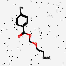 COCCOCOC(=O)c1ccc(C(C)C)cc1